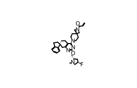 C=CC(=O)N1CC2(CCN(c3nc(OC[C@@H]4C[C@@H](F)CN4C)nc4c3CC[C@]3(CCc5ccccc53)C4)CC2)C1